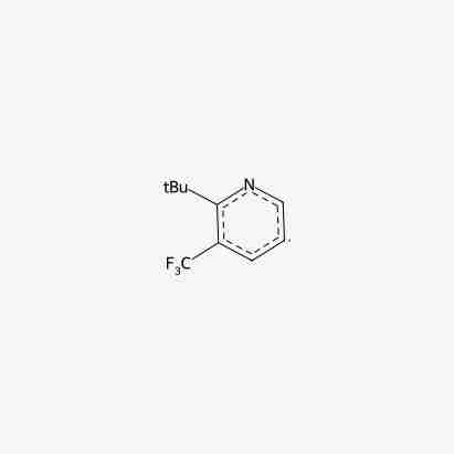 CC(C)(C)c1nc[c]cc1C(F)(F)F